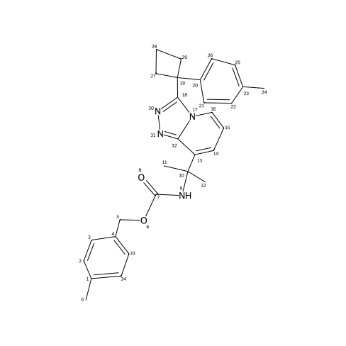 Cc1ccc(COC(=O)NC(C)(C)c2cccn3c(C4(c5ccc(C)cc5)CCC4)nnc23)cc1